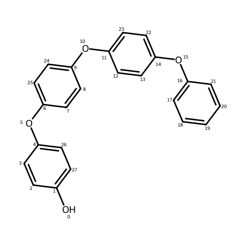 Oc1ccc(Oc2ccc(Oc3ccc(Oc4ccccc4)cc3)cc2)cc1